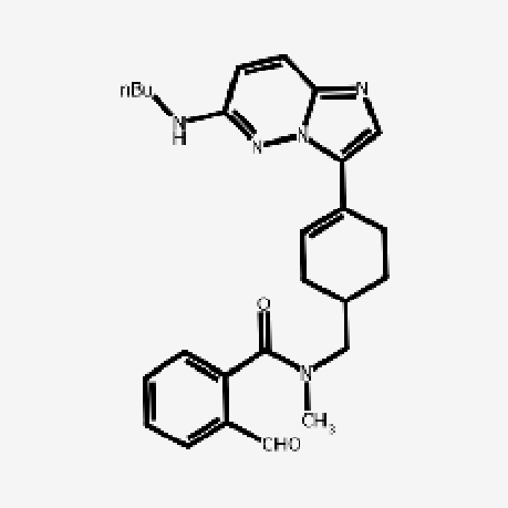 CCCCNc1ccc2ncc(C3=CCC(CN(C)C(=O)c4ccccc4C=O)CC3)n2n1